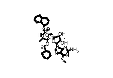 CSc1nc(N)nc2c1ncn2C1O[C@H](COP(=O)(NC(C)C(=O)O[C@@H](C)c2ccccc2)Oc2cccc3ccccc23)[C@@H](O)[C@@]1(C)O